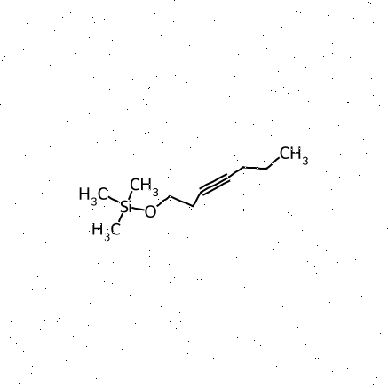 CCCC#CCCO[Si](C)(C)C